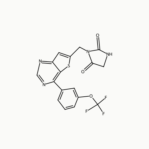 O=C1CNC(=O)N1Cc1cc2ncnc(-c3cccc(OC(F)(F)F)c3)c2s1